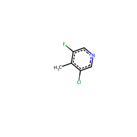 Cc1c(F)cncc1Cl